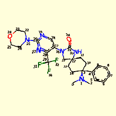 CN(C)[C@]1(c2ccccc2)CC[C@@]2(CC1)CN(c1cnc(N3CCOCC3)nc1C(F)(F)F)C(=O)N2